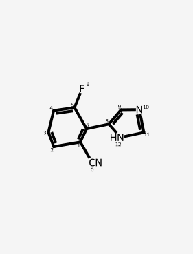 N#Cc1cccc(F)c1-c1cnc[nH]1